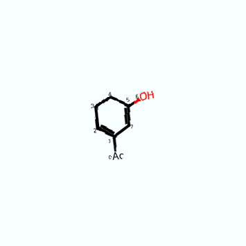 CC(=O)C1=CCCC(O)=C1